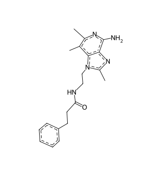 Cc1nc(N)c2nc(C)n(CCNC(=O)CCc3ccccc3)c2c1C